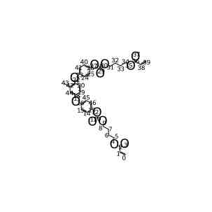 C=CC(=O)OCCCCOC(=O)Oc1ccc(Oc2ccc(Oc3ccc(OC(=O)OCCCCOC(=O)C=C)cc3)c(C)c2)cc1